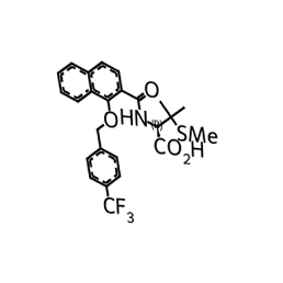 CSC(C)(C)[C@H](NC(=O)c1ccc2ccccc2c1OCc1ccc(C(F)(F)F)cc1)C(=O)O